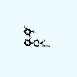 CCc1cc(F)ccc1Oc1ncccc1N1CCN(C(=O)OC(C)(C)C)CC1